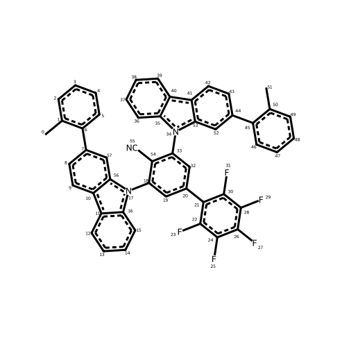 Cc1ccccc1-c1ccc2c3ccccc3n(-c3cc(-c4c(F)c(F)c(F)c(F)c4F)cc(-n4c5ccccc5c5ccc(-c6ccccc6C)cc54)c3C#N)c2c1